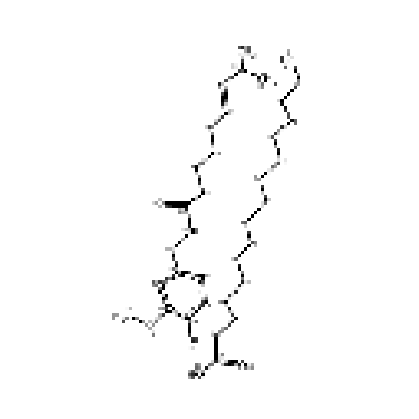 CCCCCCCCCCCCCCCC(=O)O.COc1cc(CNC(=O)CCCCC=CC(C)C)ccc1O